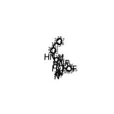 OC(CN1C[C@H]2CC(Nc3ccc(Cc4ccccc4)cc3)C[C@H]2C1)(Cn1cncn1)c1ccc(F)cc1F